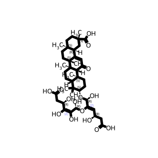 CC1(C)[C@@H](O[C@@H](O)/C(=C/[C@H](O)CC(=O)O)O[C@@H](O)/C(O)=C(/O)[C@H](O)CC(=O)O)CC[C@]2(C)[C@H]3C(=O)C=C4[C@@H]5C[C@@](C)(C(=O)O)CC[C@]5(C)CC[C@@]4(C)[C@]3(C)CC[C@@H]12